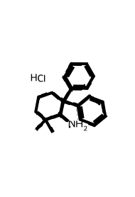 CC1(C)CCCC(c2ccccc2)(c2ccccc2)C1N.Cl